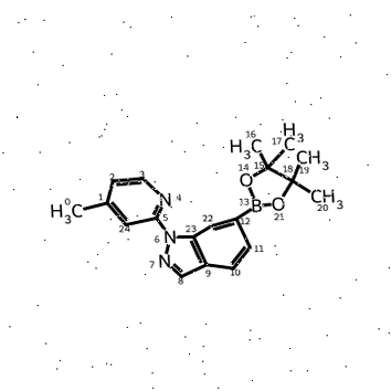 Cc1ccnc(-n2ncc3ccc(B4OC(C)(C)C(C)(C)O4)cc32)c1